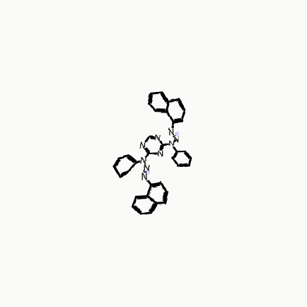 c1ccc(N(/N=N/c2cccc3ccccc23)c2ncnc(N(/N=N/c3cccc4ccccc34)c3ccccc3)n2)cc1